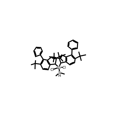 C[SiH](C)[Zr]([Cl])([Cl])([CH]1C(C(C)(C)C)=Cc2c1ccc(C(C)(C)C)c2-c1ccccc1)[CH]1C(C(C)(C)C)=Cc2c1ccc(C(C)(C)C)c2-c1ccccc1